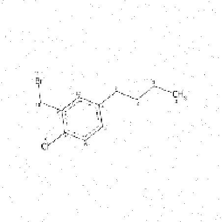 CCCCc1ccc(Cl)c(CBr)c1